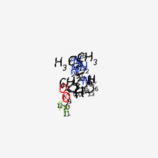 COc1cc2c(cc1OCC(F)F)[C@H]1CCCC[C@H]1N=C2c1cnc(N(C)C)nc1